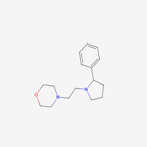 [c]1ccc(C2CCCN2CCN2CCOCC2)cc1